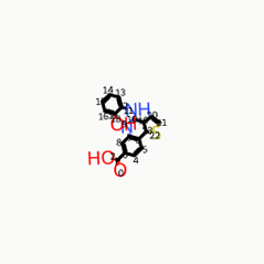 O=C(O)c1ccc2c(c1)N=C(Nc1ccccc1O)C1C=CSC21